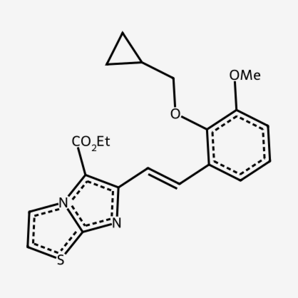 CCOC(=O)c1c(C=Cc2cccc(OC)c2OCC2CC2)nc2sccn12